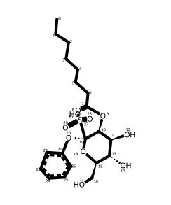 CCCCCCCC(=O)O[C@H]1[C@@H](O)[C@H](O)[C@@H](CO)O[C@@]1(Oc1ccccc1)S(=O)(=O)O